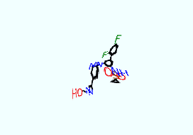 O=S(=O)(Nc1cc(-c2ccc(F)cc2F)cc(-n2cnc3cc(-c4cnn(CCO)c4)ccc32)c1)C1CC1